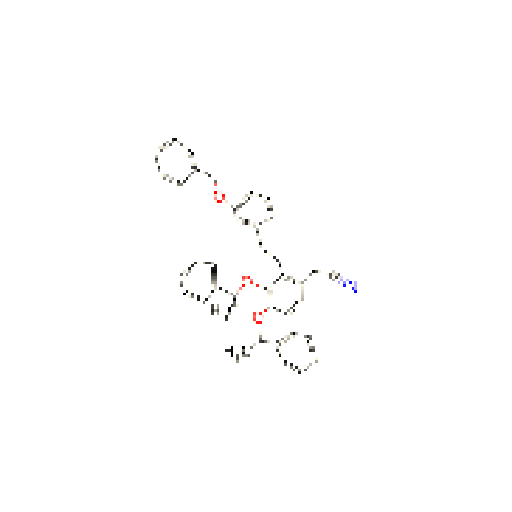 CC(Oc1ccc(CC#N)c(CCc2cccc(OCc3ccccc3)c2)c1OC(C)c1ccccc1)c1ccccc1